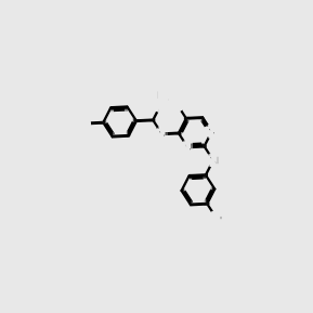 CC(Nc1nc(Nc2cccc(O)c2)ncc1F)c1ccc(F)cc1